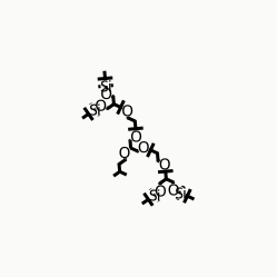 CC(C)CCOC(COC(C)(C)CCOC(C)(C)C(CO[Si](C)(C)C(C)(C)C)CO[Si](C)(C)C(C)(C)C)COC(C)(C)CCOC(C)(C)C(CO[Si](C)(C)C(C)(C)C)CO[Si](C)(C)C(C)(C)C